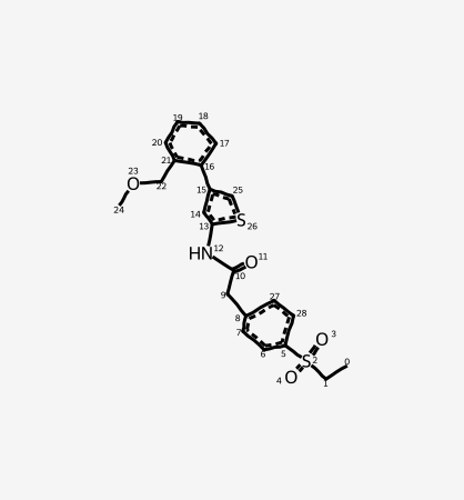 CCS(=O)(=O)c1ccc(CC(=O)Nc2cc(-c3ccccc3COC)cs2)cc1